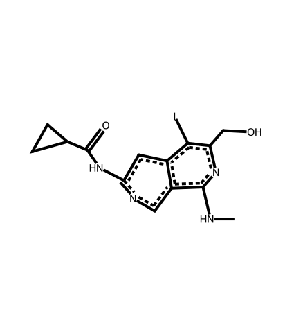 CNc1nc(CO)c(I)c2cc(NC(=O)C3CC3)ncc12